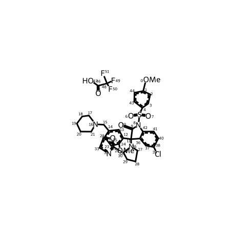 COc1ccc(S(=O)(=O)N2C(=O)C(c3cc(CN4CCCCC4)ccc3OC)(N3CCC[C@H]3c3ncco3)c3cc(Cl)ccc32)cc1.O=C(O)C(F)(F)F